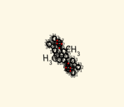 Cc1cc(N(c2ccccc2)c2cccc3c2C(c2ccccc2)(c2ccccc2)C2C=CC=CC32)c2cc3c4c(cc(N(c5ccccc5)c5cccc6c5C(c5ccccc5)(c5ccccc5)c5ccccc5-6)c5ccc1c2c54)CCC3(C)C